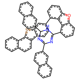 c1ccc2cc(C3=NC(c4ccc5ccccc5c4)NC(c4cccc5oc6cccc(-c7ccc8c(c7)sc7c9ccccc9ccc87)c6c45)=N3)ccc2c1